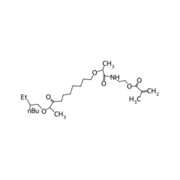 C=C(C)C(=O)OCCNC(=O)C(C)OCCCCCCCC(=O)C(C)OCC(CC)CCCC